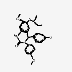 CCC(C)Oc1cc2c(cc1OC)NC(=O)N(c1ccc(OC)cc1)C2c1ccc(Cl)cc1